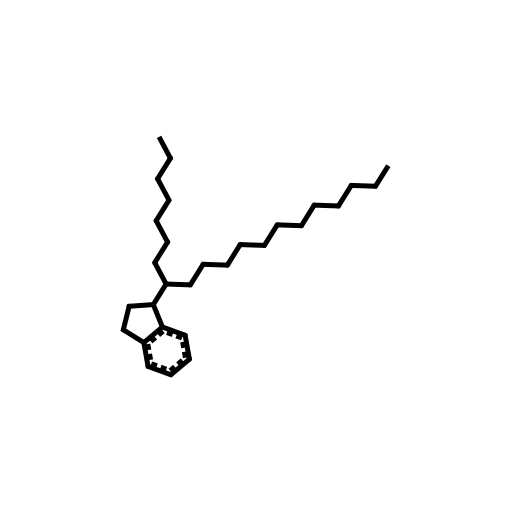 CCCCCCCCCCCCC(CCCCCCC)C1CCc2ccccc21